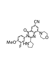 COc1ccc(-n2c(C3CCCN3)nc3c(N4CCOCC4)cc(C#N)cc3c2=O)cc1F